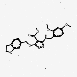 COC(=O)c1c(OCc2ccc3c(c2)OCC3)nsc1NCc1ccc(OC)cc1OC